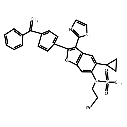 C=C(c1ccccc1)c1ccc(-c2oc3cc(N(CCC(C)C)S(C)(=O)=O)c(C4CC4)cc3c2-c2ncc[nH]2)cc1